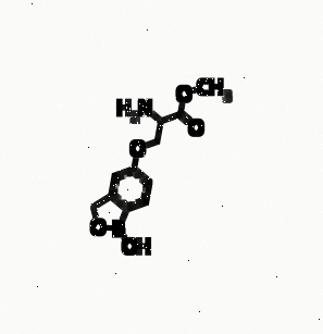 COC(=O)C(N)COc1ccc2c(c1)COB2O